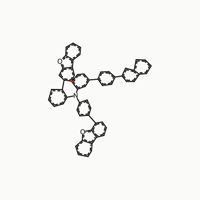 c1cc(-c2ccc(-c3ccc4ccccc4c3)cc2)cc(N(c2ccc(-c3cccc4c3oc3ccccc34)cc2)c2ccccc2-c2ccc3c(c2)oc2ccccc23)c1